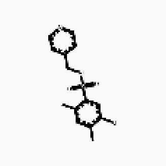 Cc1cc(C)c(S(=O)(=O)NCc2ccncc2)cc1Cl